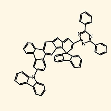 C1=C2C=c3cc4c5ccccc5c5cc(-n6c7ccccc7c7ccccc76)ccc5c4cc3=C2C2(C=C1c1nc(-c3ccccc3)nc(-c3ccccc3)n1)c1ccccc1-c1ccccc12